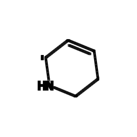 [C]1C=CCCN1